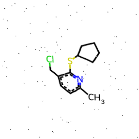 Cc1ccc(CCl)c(SC2CCCC2)n1